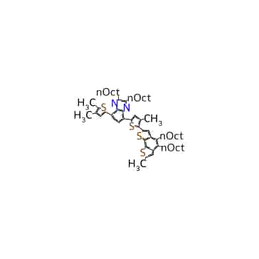 CCCCCCCCc1nc2c(-c3cc(C)c(C)s3)ccc(-c3cc(C)c(-c4cc5c(CCCCCCCC)c(CCCCCCCC)c6cc(C)sc6c5s4)s3)c2nc1CCCCCCCC